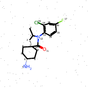 CC1C[C@]2(CC[C@@H](N)CC2)C(=O)N1c1ccc(F)cc1Cl